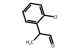 CC([C]=O)c1ccccc1Cl